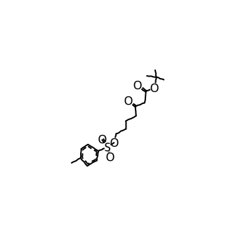 Cc1ccc(S(=O)(=O)OCCCCC(=O)CC(=O)OC(C)(C)C)cc1